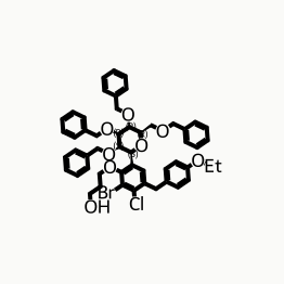 CCOc1ccc(Cc2cc([C@@H]3O[C@H](COCc4ccccc4)[C@@H](OCc4ccccc4)[C@H](OCc4ccccc4)[C@H]3OCc3ccccc3)c(OCCCO)c(Br)c2Cl)cc1